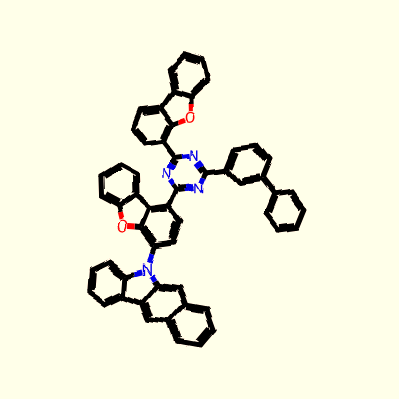 c1ccc(-c2cccc(-c3nc(-c4cccc5c4oc4ccccc45)nc(-c4ccc(-n5c6ccccc6c6cc7ccccc7cc65)c5oc6ccccc6c45)n3)c2)cc1